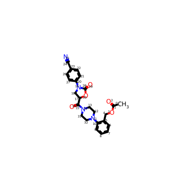 CC(=O)OCc1ccccc1N1CCN(C(=O)C2CN(c3ccc(C#N)cc3)C(=O)O2)CC1